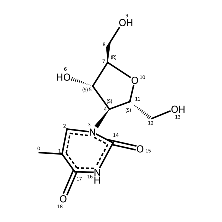 Cc1cn([C@H]2[C@H](O)[C@@H](CO)O[C@@H]2CO)c(=O)[nH]c1=O